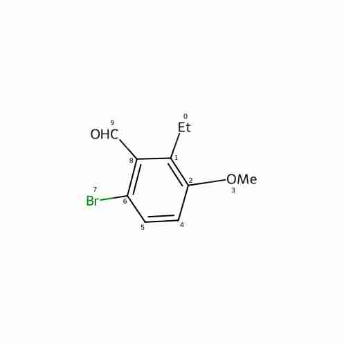 CCc1c(OC)ccc(Br)c1C=O